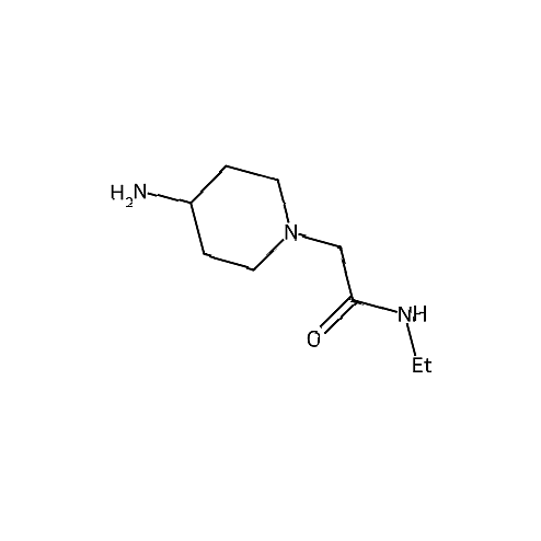 CCNC(=O)CN1CCC(N)CC1